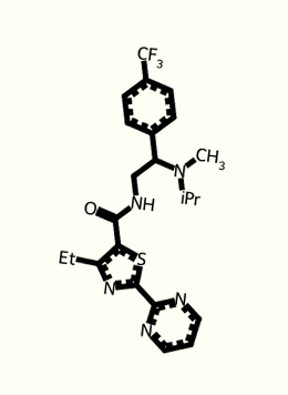 CCc1nc(-c2ncccn2)sc1C(=O)NCC(c1ccc(C(F)(F)F)cc1)N(C)C(C)C